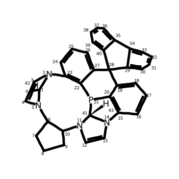 C[C@H]1N2C=CN1C1CCCC1N1C=CN3c4cccc5c4P(c4c2cccc4C52c4ccccc4-c4ccccc42)[C@H]31